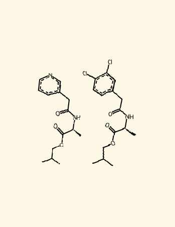 CC(C)COC(=O)[C@H](C)NC(=O)Cc1ccc(Cl)c(Cl)c1.CC(C)COC(=O)[C@H](C)NC(=O)Cc1cccnc1